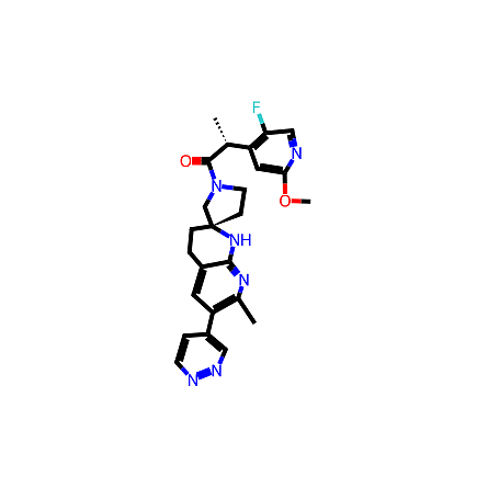 COc1cc([C@@H](C)C(=O)N2CC[C@@]3(CCc4cc(-c5ccnnc5)c(C)nc4N3)C2)c(F)cn1